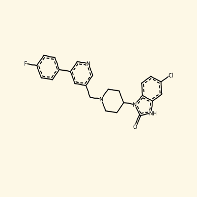 O=c1[nH]c2cc(Cl)ccc2n1C1CCN(Cc2cncc(-c3ccc(F)cc3)c2)CC1